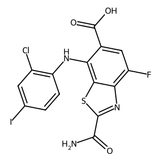 NC(=O)c1nc2c(F)cc(C(=O)O)c(Nc3ccc(I)cc3Cl)c2s1